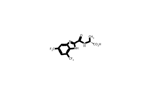 C[C@@H](NC(=O)c1nc2cc(C(F)(F)F)cc(C(F)(F)F)c2[nH]1)C(=O)O